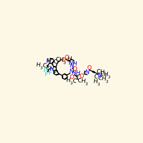 CC(C)c1ncccc1-c1c2c3cc(ccc3n1CC(F)(F)F)-c1cccc(c1)CN(NC(=O)[C@@H](COC1CN(C(=O)C#CC(C)(C)N(C)C)C1)C(C)C)C(=O)N1CCC[C@H](N1)C(=O)OCC(C)(C)C2